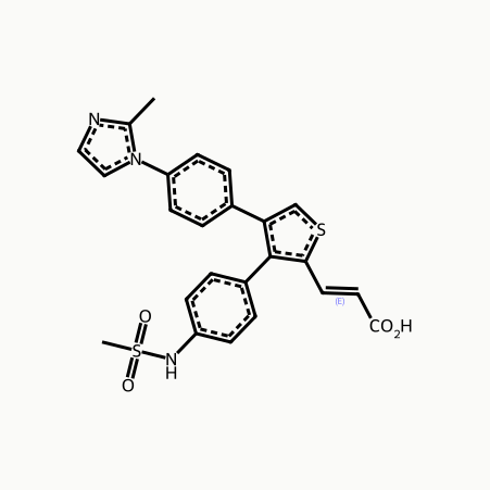 Cc1nccn1-c1ccc(-c2csc(/C=C/C(=O)O)c2-c2ccc(NS(C)(=O)=O)cc2)cc1